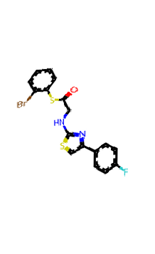 O=C(CNc1nc(-c2ccc(F)cc2)cs1)Sc1ccccc1Br